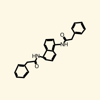 O=C(Cc1ccccc1)Nc1cccc2c(NC(=O)Cc3ccccc3)cccc12